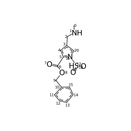 CNCc1cc(C(=O)OCc2ccccc2)n([SH](=O)=O)c1